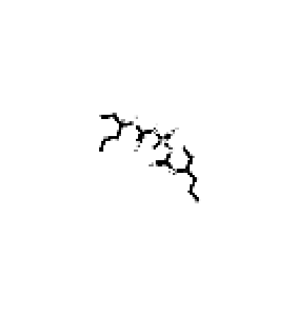 CCCC(CC)OC(=O)OP(C)(=O)OC(=O)OC(CC)CCC